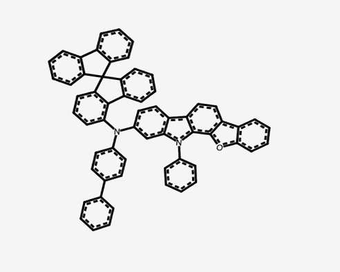 c1ccc(-c2ccc(N(c3ccc4c5ccc6c7ccccc7oc6c5n(-c5ccccc5)c4c3)c3cccc4c3-c3ccccc3C43c4ccccc4-c4ccccc43)cc2)cc1